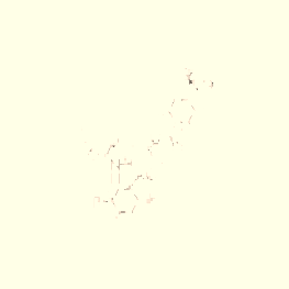 CC(C)(C)OC(=O)N[C@H]1C[C@H](OC(=O)c2ccc([N+](=O)[O-])cc2)CO[C@@H]1c1cc(F)ccc1F